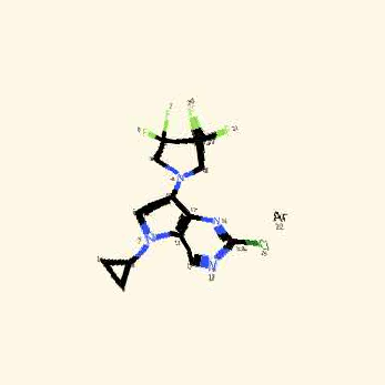 FC1(F)CN(c2cn(C3CC3)c3cnc(Cl)nc23)CC1(F)F.[Ar]